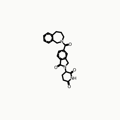 O=C1CCC(N2Cc3cc(C(=O)N4CCCc5ccccc5C4)ccc3C2=O)C(=O)N1